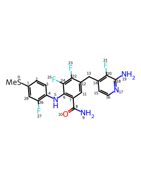 CSc1ccc(Nc2c(C(N)=O)cc(Cc3ccnc(N)c3F)c(F)c2F)c(F)c1